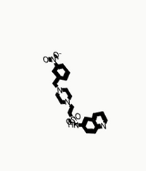 O=[N+]([O-])c1cccc(CN2CCN(CCS(=O)(=O)Nc3ccc4ncccc4c3)CC2)c1